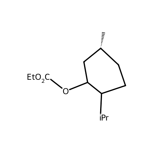 C[CH]OC(=O)OC1C[C@H](C)CCC1C(C)C